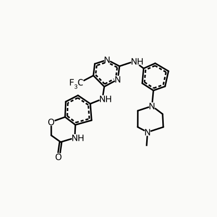 CN1CCN(c2cccc(Nc3ncc(C(F)(F)F)c(Nc4ccc5c(c4)NC(=O)CO5)n3)c2)CC1